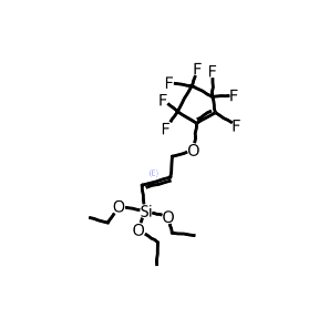 CCO[Si](/C=C/COC1=C(F)C(F)(F)C(F)(F)C1(F)F)(OCC)OCC